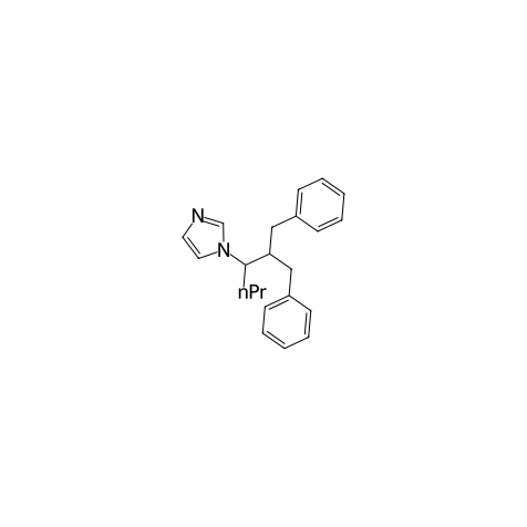 CCCC(C(Cc1ccccc1)Cc1ccccc1)n1ccnc1